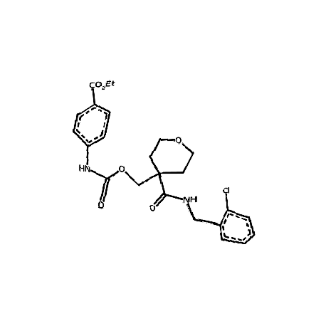 CCOC(=O)c1ccc(NC(=O)OCC2(C(=O)NCc3ccccc3Cl)CCOCC2)cc1